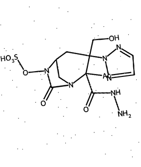 CC(=O)C1(C(=O)NN)N2CC(CC1(CO)n1nccn1)N(OS(=O)(=O)O)C2=O